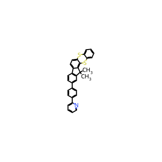 CC1(C)c2cc(-c3ccc(-c4ccccn4)cc3)ccc2-c2ccc3c(c21)Sc1ccccc1S3